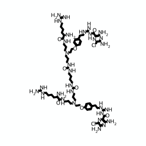 N=C(N)NCCCC[C@@H](N)C(=O)NCCCN(CCCNC(=O)NCCCCNC(=O)NCCCN(CCCNC(=O)[C@H](N)CCCCNC(=N)N)CCOc1ccc(CCNC(=N)NC(=O)c2nc(Cl)c(N)nc2N)cc1)CCOc1ccc(CCNC(=N)NC(=O)c2nc(Cl)c(N)nc2N)cc1